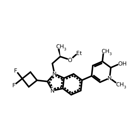 CCO[C@H](C)Cn1c(C2CC(F)(F)C2)nc2ccc(C3=CN(C)C(O)C(C)=C3)cc21